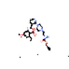 C#CCOC(=O)NCCN1CCN(c2ncccc2-c2nc3cc(OC)cc(CC)c3c(=O)o2)CC1